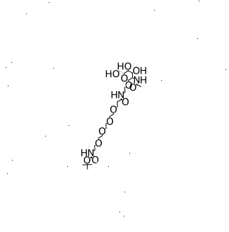 CC(=O)N[C@H]1[C@H](OCCNC(=O)CCOCCOCCOCCOCCNC(=O)OC(C)(C)C)O[C@H](CO)[C@@H](O)[C@@H]1O